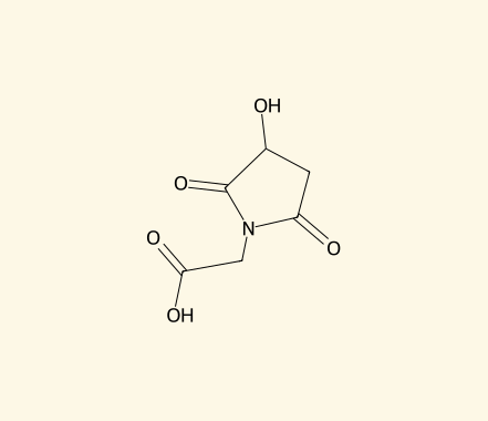 O=C(O)CN1C(=O)CC(O)C1=O